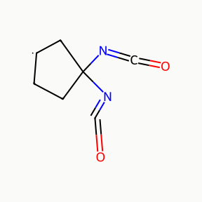 O=C=NC1(N=C=O)C[CH]CC1